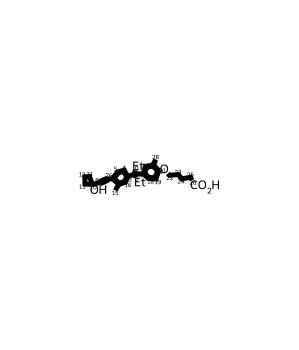 CCC(CC)(c1ccc(C#CC2(O)CCC2)c(C)c1)c1ccc(OCCCCC(=O)O)c(C)c1